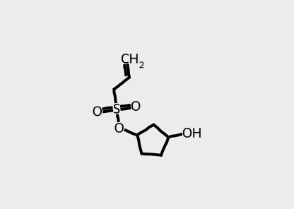 C=CCS(=O)(=O)OC1CCC(O)C1